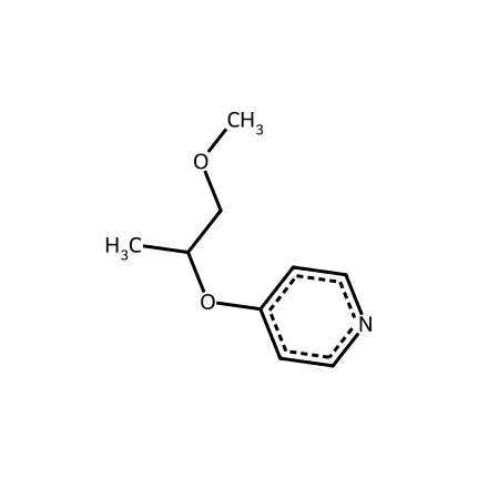 COCC(C)Oc1ccncc1